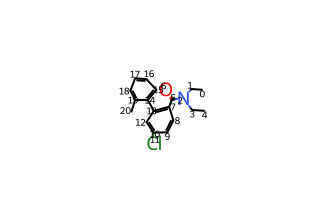 CCN(CC)C(=O)c1ccc(Cl)cc1-c1ccccc1C